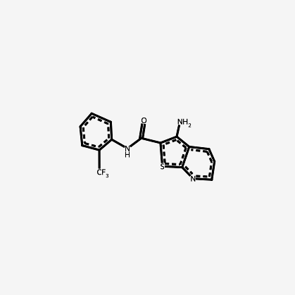 Nc1c(C(=O)Nc2ccccc2C(F)(F)F)sc2ncccc12